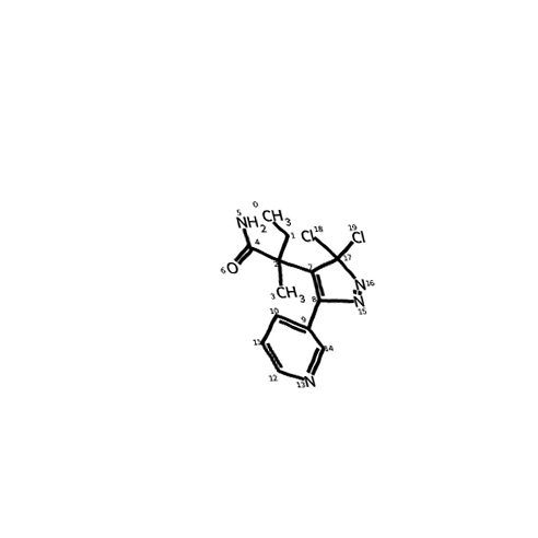 CCC(C)(C(N)=O)C1=C(c2cccnc2)N=NC1(Cl)Cl